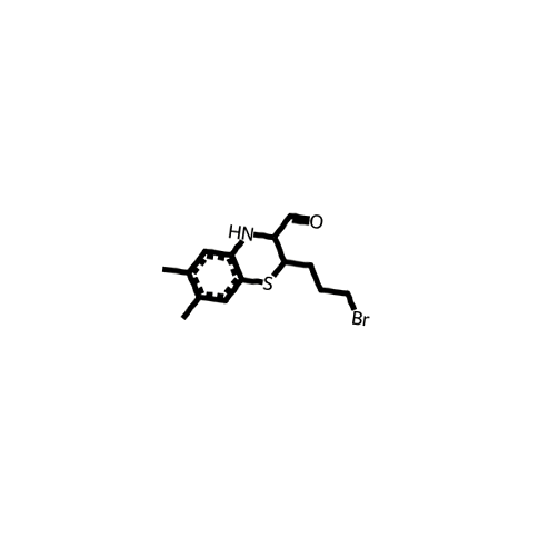 Cc1cc2c(cc1C)SC(CCCBr)C(C=O)N2